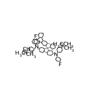 C[Si](C)(C)c1ccc(N(c2ccc(F)cc2)c2ccc3c(c2)C2(c4ccccc4-c4cc5c6ccccc6c6ccccc6c5cc42)c2cc(N(c4ccc(F)cc4)c4ccc([Si](C)(C)C)cc4)ccc2-3)cc1